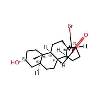 C[C@]12CC[C@@H](O)C[C@@H]1CC[C@@H]1[C@@H]2CC[C@]23C=C(Br)C(=O)[C@H]2CC[C@@H]13